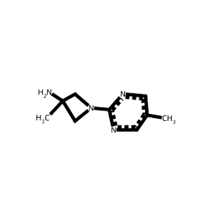 Cc1cnc(N2CC(C)(N)C2)nc1